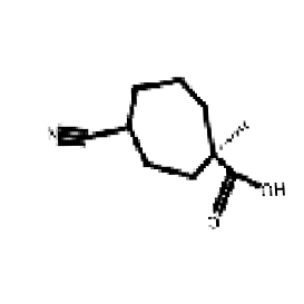 C[C@@]1(C(=O)O)CCCC(C#N)CC1